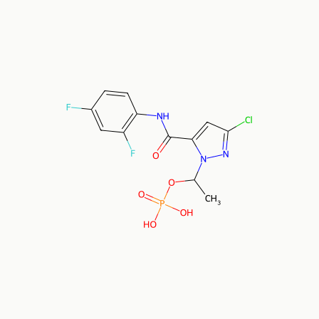 CC(OP(=O)(O)O)n1nc(Cl)cc1C(=O)Nc1ccc(F)cc1F